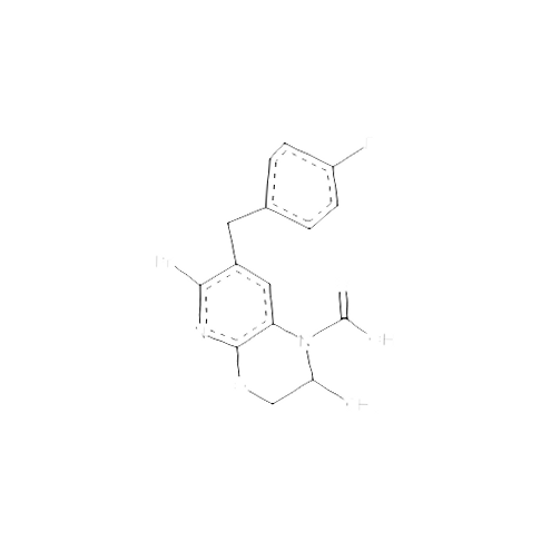 CC1COc2nc(Br)c(Cc3ccc(F)cc3)cc2N1C(=O)O